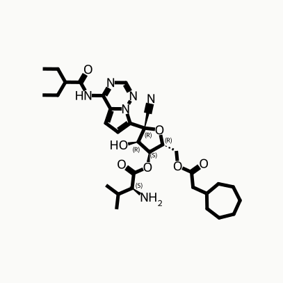 CCC(CC)C(=O)Nc1ncnn2c([C@]3(C#N)O[C@H](COC(=O)CC4CCCCCC4)[C@@H](OC(=O)[C@@H](N)C(C)C)[C@H]3O)ccc12